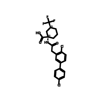 O=C(Cc1cc(-c2ccc(Cl)cc2)ccc1Cl)N[C@@]1(C(=O)O)CCC[C@H](C(F)(F)F)C1